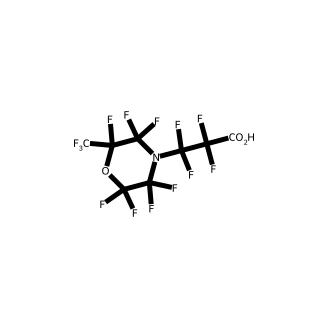 O=C(O)C(F)(F)C(F)(F)N1C(F)(F)C(F)(F)OC(F)(C(F)(F)F)C1(F)F